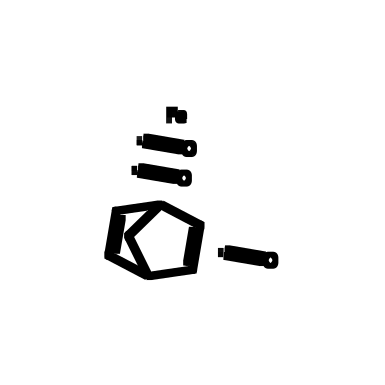 C1=CC2C=CC1C2.[C]=O.[C]=O.[C]=O.[Fe]